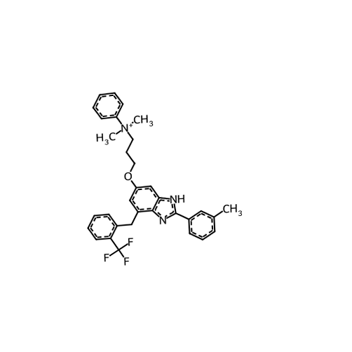 Cc1cccc(-c2nc3c(Cc4ccccc4C(F)(F)F)cc(OCCC[N+](C)(C)c4ccccc4)cc3[nH]2)c1